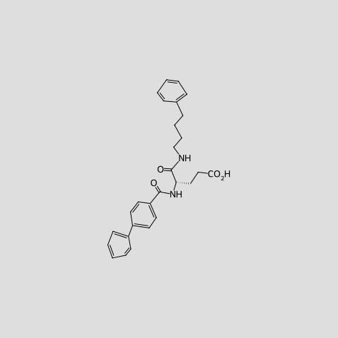 O=C(O)CC[C@H](NC(=O)c1ccc(-c2ccccc2)cc1)C(=O)NCCCCc1ccccc1